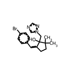 CC1(C)CC/C(=C/c2ccc(Br)cc2)C1(O)Cn1cncn1